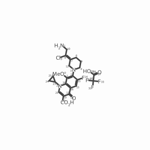 COc1c(N2CCCC(=C(Cl)CN)C2)c(F)cc2c(=O)c(C(=O)O)cn(C3CC3)c12.O=C(O)C(F)(F)F